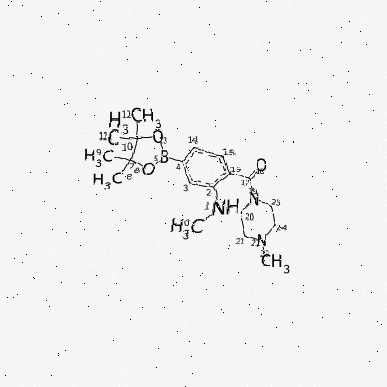 CNc1cc(B2OC(C)(C)C(C)(C)O2)ccc1C(=O)N1CCN(C)CC1